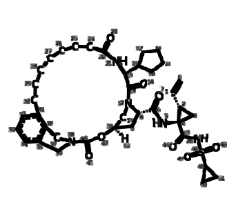 C=C[C@@H]1C[C@]1(NC(=O)[C@@H]1C[C@@H]2CN1C(=O)[C@H](C1CCCC1)NC(=O)CCCCCCCc1cccc3c1CN(C3)C(=O)O2)C(=O)NS(=O)(=O)C1CC1